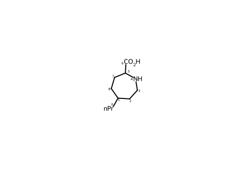 CCCC1CCNC(C(=O)O)CC1